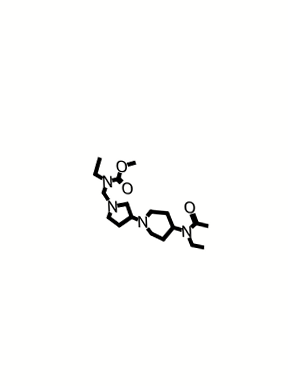 CCN(CN1CCC(N2CCC(N(CC)C(C)=O)CC2)C1)C(=O)OC